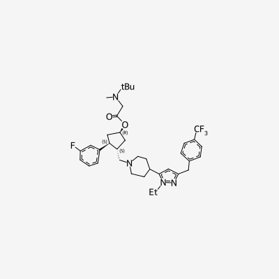 CCn1nc(Cc2ccc(C(F)(F)F)cc2)cc1C1CCN(C[C@H]2C[C@H](OC(=O)CN(C)C(C)(C)C)C[C@@H]2c2cccc(F)c2)CC1